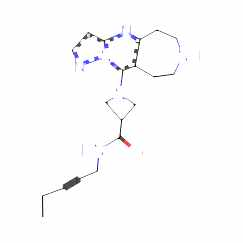 CCC#CCNC(=O)C1CN(c2c3c(nc4ccnn24)CCNCC3)C1